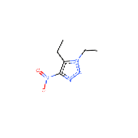 CCc1c([N+](=O)[O-])nnn1CC